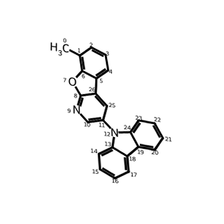 Cc1cccc2c1oc1ncc(-n3c4ccccc4c4ccccc43)cc12